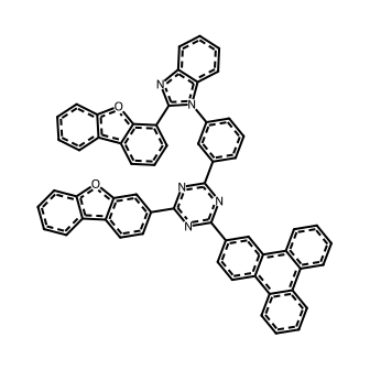 c1cc(-c2nc(-c3ccc4c(c3)oc3ccccc34)nc(-c3ccc4c5ccccc5c5ccccc5c4c3)n2)cc(-n2c(-c3cccc4c3oc3ccccc34)nc3ccccc32)c1